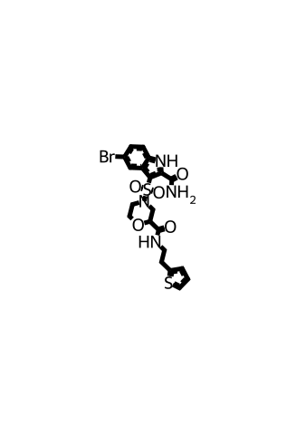 NC(=O)c1[nH]c2ccc(Br)cc2c1S(=O)(=O)N1CCOC(C(=O)NCCc2cccs2)C1